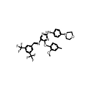 COc1cc(C)ccc1Oc1nc(Nc2ccc(N3CCOCC3)cc2)ncc1/N=C/c1cc(C(F)(F)F)cc(C(F)(F)F)c1